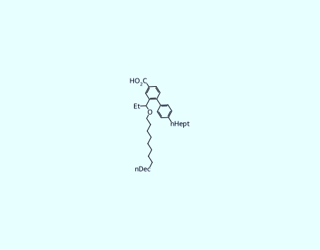 CCCCCCCCCCCCCCCCCCOC(CC)c1cc(C(=O)O)ccc1-c1ccc(CCCCCCC)cc1